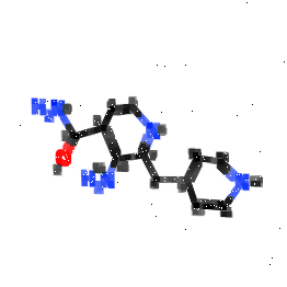 NC(=O)c1ccnc(Cc2ccncc2)c1N